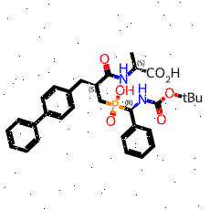 C[C@H](NC(=O)[C@H](Cc1ccc(-c2ccccc2)cc1)CP(=O)(O)[C@@H](NC(=O)OC(C)(C)C)c1ccccc1)C(=O)O